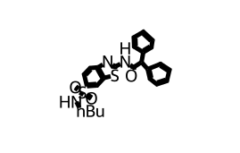 CCCCNS(=O)(=O)c1ccc2nc(NC(=O)C(c3ccccc3)c3ccccc3)sc2c1